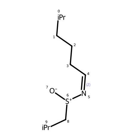 CC(C)CCC/C=N\[S+]([O-])CC(C)C